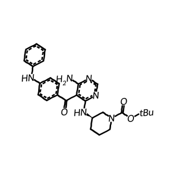 CC(C)(C)OC(=O)N1CCC[C@@H](Nc2ncnc(N)c2C(=O)c2ccc(Nc3ccccc3)cc2)C1